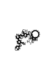 COc1cc(C(=O)N[C@H]2CCCCCCCCC[C@@H]3C[C@H]2CN(C)C3)cnc1-c1cc2nccc(-c3ccc(OC4CCOCC4)c(C#N)c3)c2o1